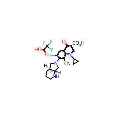 N#Cc1c(N2C[C@@H]3CCCN[C@@H]3C2)c(F)cc2c(=O)c(C(=O)O)cn(C3CC3)c12.O=C(O)C(F)(F)F